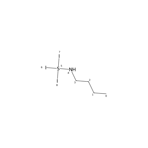 CCCCNS(I)(I)I